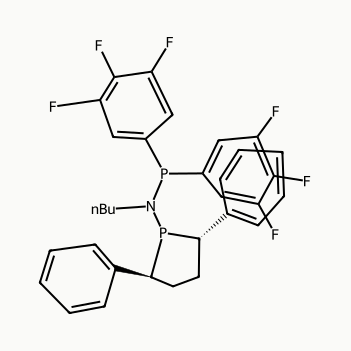 CCCCN(P(c1cc(F)c(F)c(F)c1)c1cc(F)c(F)c(F)c1)P1[C@H](c2ccccc2)CC[C@H]1c1ccccc1